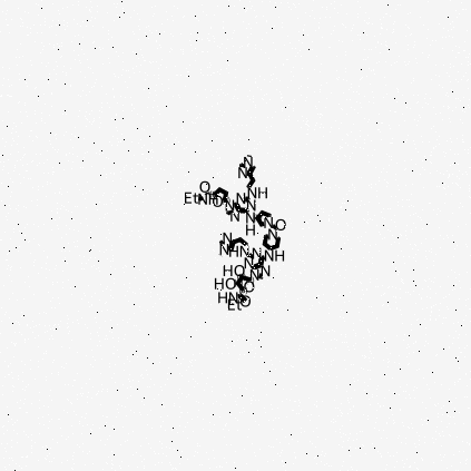 CCNC(=O)[C@@H]1CC[C@H](n2cnc3c(N[C@@H]4CCN(C(=O)N5CCC(Nc6nc(NCCc7cn(C)cn7)nc7c6ncn7[C@@H]6O[C@H](C(=O)NCC)[C@@H](O)[C@H]6O)CC5)C4)nc(NCCc4cn(C)cn4)nc32)O1